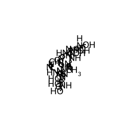 Cn1cnc(CCNc2nc(NC3CCN(C(=O)N4CCC(Nc5nc(NCCc6cn(C)cn6)nc6c5ncn6[C@@H]5C[C@H](NC(=O)CO)[C@@H](O)[C@H]5O)CC4)CC3)c3ncn([C@@H]4C[C@H](NC(=O)CO)[C@@H](O)[C@H]4O)c3n2)c1